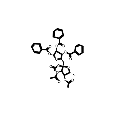 CC(=O)O[C@H]1[C@@H](OC(C)=O)[C@](C[C@H]2O[C@H](OC(=O)c3ccccc3)[C@H](OC(=O)c3ccccc3)[C@@H]2OC(=O)c2ccccc2)(OC(C)=O)O[C@@H]1C